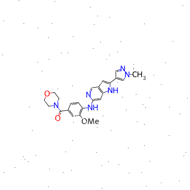 COc1cc(C(=O)N2CCOCC2)ccc1Nc1cc2[nH]c(-c3cnn(C)c3)cc2cn1